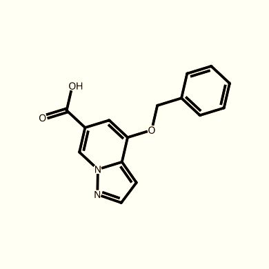 O=C(O)c1cc(OCc2ccccc2)c2ccnn2c1